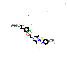 COC(=O)Cc1ccc(Cl)c(OCCN2CC(C)N(c3nc4ccc(C(F)(F)F)cc4s3)C(C)C2)c1